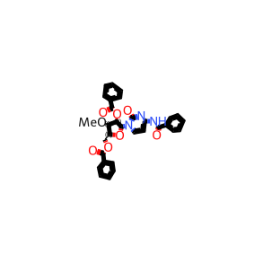 CO[C@H]1[C@@H](COC(=O)c2ccccc2)OC(n2ccc(NC(=O)c3ccccc3)nc2=O)[C@@H]1OC(=O)c1ccccc1